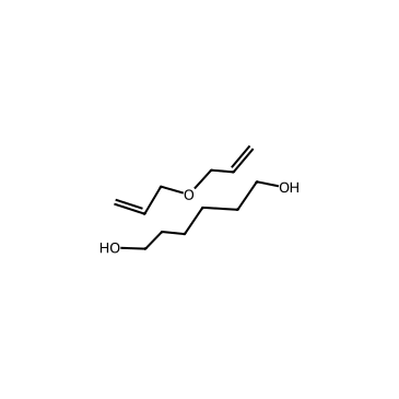 C=CCOCC=C.OCCCCCCO